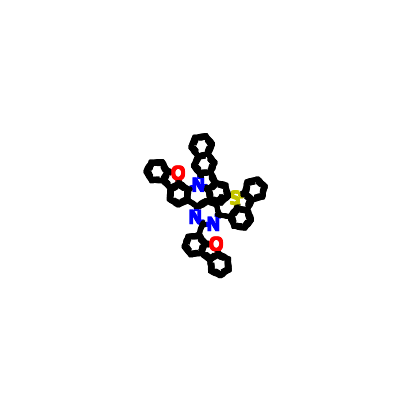 CC1C=C(c2ccc3c(oc4ccccc43)c2-n2c3ccccc3c3cc4ccccc4cc32)N=C(c2cccc3c2oc2ccccc23)N=C1c1cccc2c1sc1ccccc12